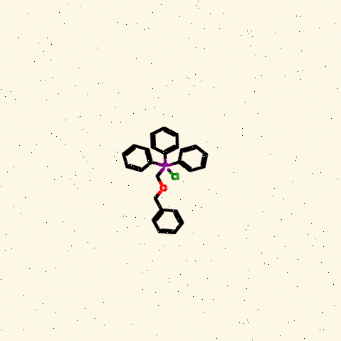 ClP(COCc1ccccc1)(c1ccccc1)(c1ccccc1)c1ccccc1